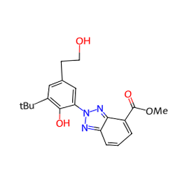 COC(=O)c1cccc2nn(-c3cc(CCO)cc(C(C)(C)C)c3O)nc12